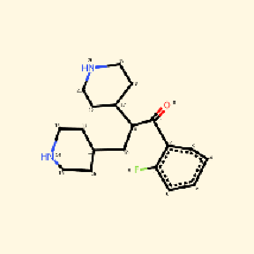 O=C(c1ccccc1F)C([CH]C1CCNCC1)C1CCNCC1